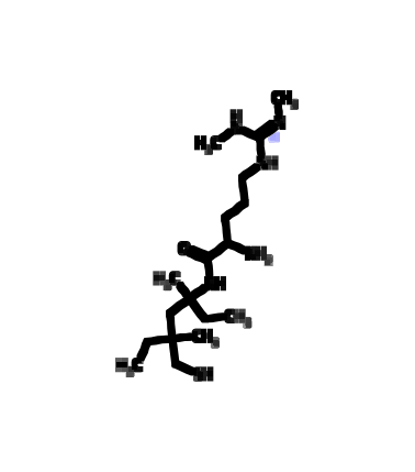 CCC(C)(CS)CC(C)(CC)NC(=O)C(N)CCCN/C(=N/C)NC